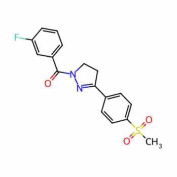 CS(=O)(=O)c1ccc(C2=NN(C(=O)c3cccc(F)c3)CC2)cc1